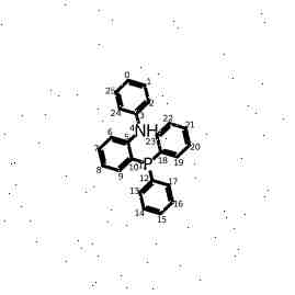 c1ccc(Nc2ccccc2P(c2ccccc2)c2ccccc2)cc1